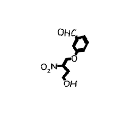 O=Cc1cccc(OCC(CCO)[N+](=O)[O-])c1